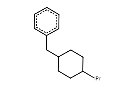 CC(C)C1CCC(Cc2ccccc2)CC1